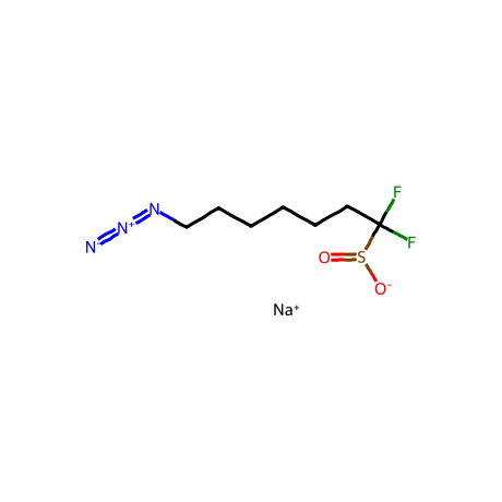 [N-]=[N+]=NCCCCCCC(F)(F)S(=O)[O-].[Na+]